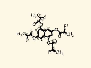 C=C(F)C(=O)Oc1cc(OC(=O)C(=C)F)c2cc(OC(=O)C(=C)F)cc(OC(=O)C(=C)F)c2c1